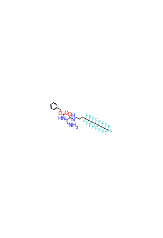 NCC(NC(=O)OCc1ccccc1)C(=O)NCCCC(F)(F)C(F)(F)C(F)(F)C(F)(F)C(F)(F)C(F)(F)C(F)(F)C(F)(F)F